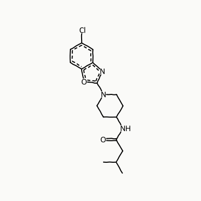 CC(C)CC(=O)NC1CCN(c2nc3cc(Cl)ccc3o2)CC1